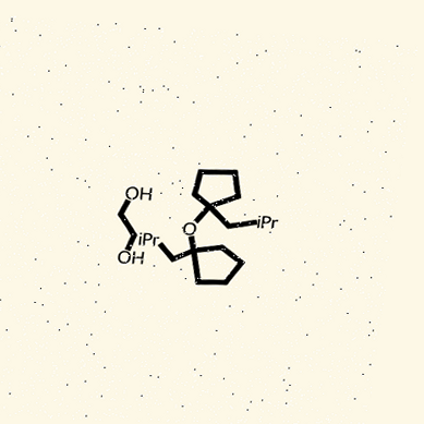 CC(C)CC1(OC2(CC(C)C)CCCC2)CCCC1.OCCO